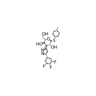 Cc1ccc(S[C@H]2OC(CO)[C@H](O)[C@H](n3cc(-c4cc(F)c(F)c(F)c4)nn3)C2O)cc1